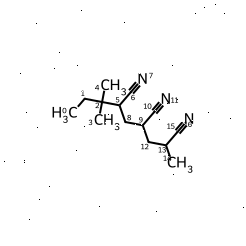 CCC(C)(C)C(C#N)CC(C#N)CC(C)C#N